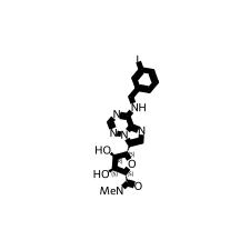 CNC(=O)[C@H]1O[C@@H](c2cnc3c(NCc4cccc(I)c4)ncnn23)[C@H](O)[C@@H]1O